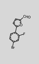 O=Cc1ccc(-c2ccc(Br)cc2F)o1